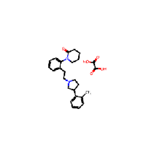 O=C(O)C(=O)O.O=C1CCCCN1c1ccccc1CCN1CCC(c2ccccc2C(F)(F)F)C1